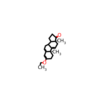 CCOC1=CC2=CCC3C(=CC[C@]4(C)C(=O)CCC34)[C@@]2(C)CC1